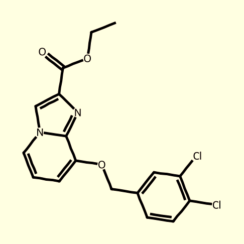 CCOC(=O)c1cn2cccc(OCc3ccc(Cl)c(Cl)c3)c2n1